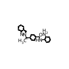 C[C@H](c1ccc(C(=O)Nc2ccccc2N)cc1)n1cc2ccccc2n1